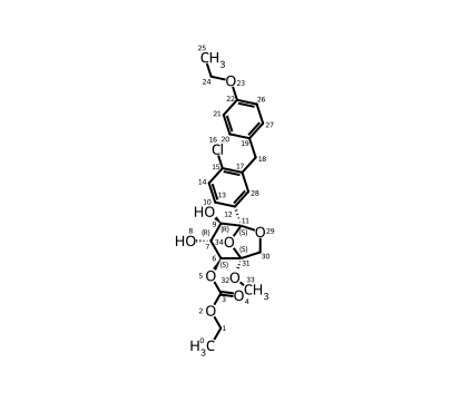 CCOC(=O)O[C@H]1[C@H](O)[C@@H](O)[C@@]2(c3ccc(Cl)c(Cc4ccc(OCC)cc4)c3)OC[C@]1(OC)O2